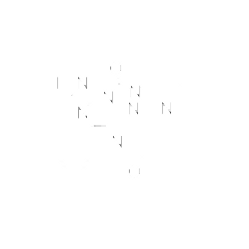 C[C@@H]1CN(c2c(-c3ccccc3)nc(N)n3c(=O)n(C[C@@H]4CCCN4C)nc23)C[C@H](C)O1